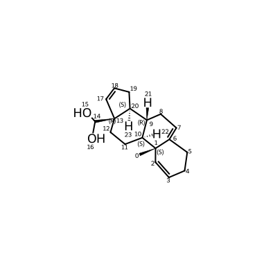 C[C@]12C=CCCC1=CC[C@@H]1[C@@H]2CC[C@]2(C(O)O)C=CC[C@@H]12